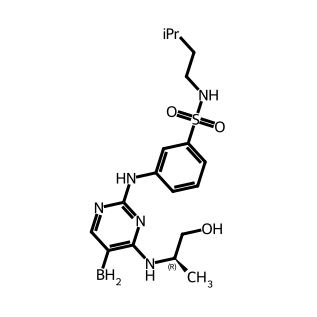 Bc1cnc(Nc2cccc(S(=O)(=O)NCCC(C)C)c2)nc1N[C@H](C)CO